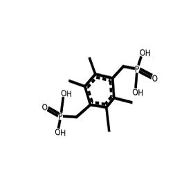 Cc1c(C)c(CP(=O)(O)O)c(C)c(C)c1CP(=O)(O)O